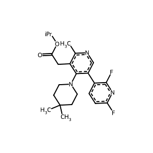 Cc1ncc(-c2ccc(F)nc2F)c(N2CCC(C)(C)CC2)c1CC(=O)OC(C)C